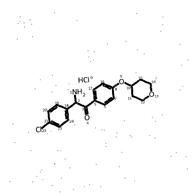 Cl.NC(C(=O)c1ccc(OC2CCOCC2)cc1)c1ccc(Cl)cc1